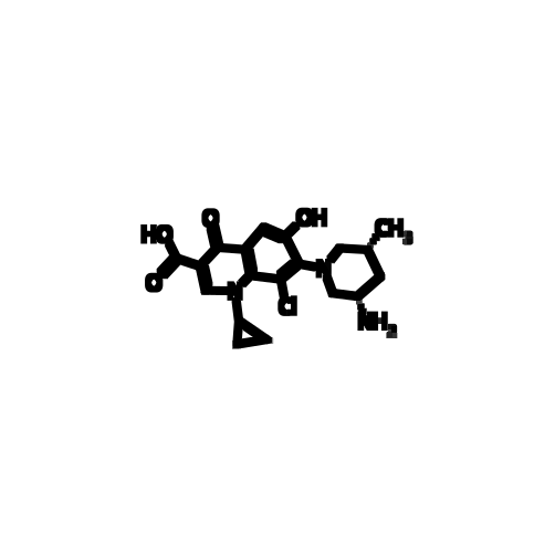 C[C@@H]1C[C@H](N)CN(c2c(O)cc3c(=O)c(C(=O)O)cn(C4CC4)c3c2Cl)C1